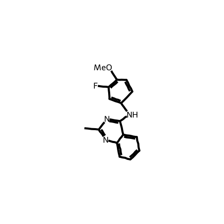 COc1ccc(Nc2nc(C)nc3ccccc23)cc1F